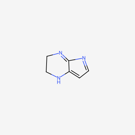 C1=NC2=NCCNC2=C1